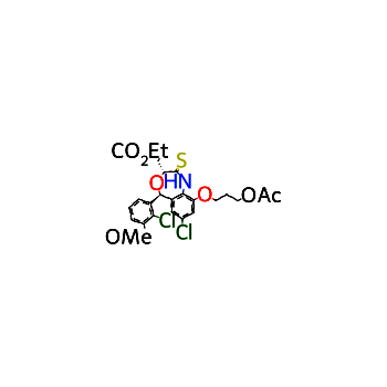 CCOC(=O)C[C@H]1O[C@H](c2cccc(OC)c2Cl)c2cc(Cl)cc(OCCCOC(C)=O)c2NC1=S